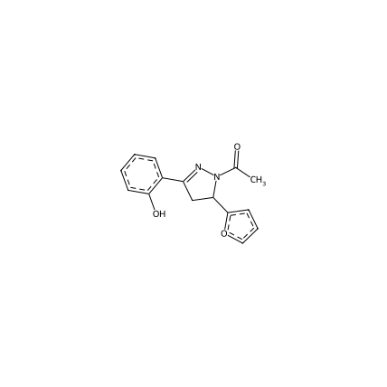 CC(=O)N1N=C(c2ccccc2O)CC1c1ccco1